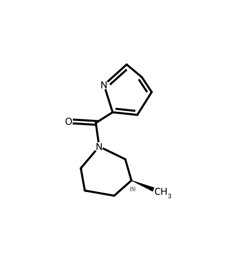 C[C@H]1CCCN(C(=O)c2ccccn2)C1